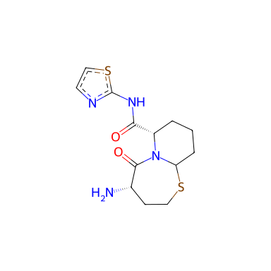 N[C@H]1CCSC2CCC[C@@H](C(=O)Nc3nccs3)N2C1=O